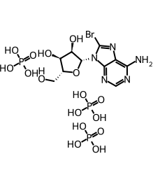 Nc1ncnc2c1nc(Br)n2[C@@H]1O[C@H](CO)[C@@H](O)[C@H]1O.O=P(O)(O)O.O=P(O)(O)O.O=P(O)(O)O